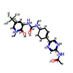 CC(=O)Nc1cnc(C2=CCC(N(C)C(=O)Nc3cc(C(F)(F)F)cn(C)c3=O)CC2)cn1